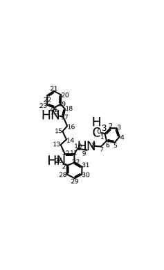 Cc1ccccc1CNCCc1c(CCCCc2cc3ccccc3[nH]2)[nH]c2ccccc12